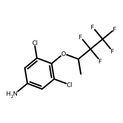 CC(Oc1c(Cl)cc(N)cc1Cl)C(F)(F)C(F)(F)F